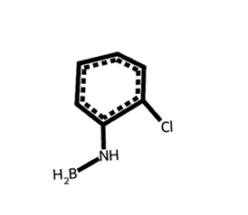 BNc1ccccc1Cl